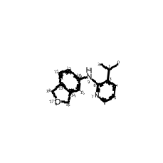 CC(C)c1cccnc1Nc1ccc2c(c1)COC2